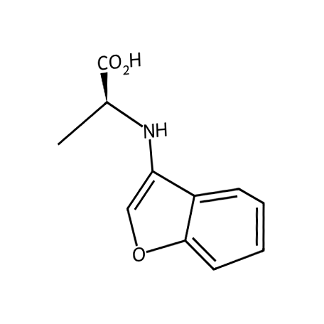 C[C@H](Nc1coc2ccccc12)C(=O)O